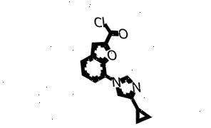 O=C(Cl)c1cc2cccc(-n3cnc(C4CC4)c3)c2o1